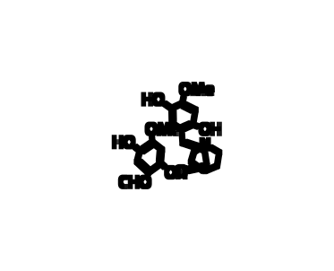 COc1cc(O)c(C=C2C(=O)C3CCN2CC3)cc1O.COc1cc(O)c(C=O)cc1O